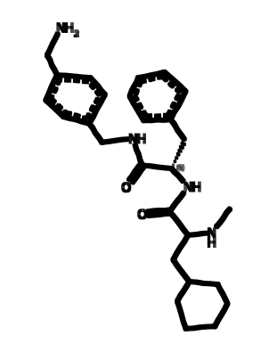 CNC(CC1CCCCC1)C(=O)N[C@@H](Cc1ccccc1)C(=O)NCc1ccc(CN)cc1